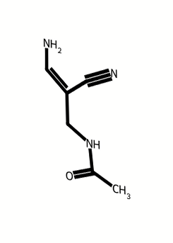 CC(=O)NCC(C#N)=CN